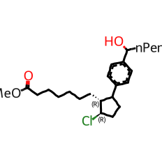 CCCCCC(O)c1ccc(C2CC[C@@H](Cl)[C@@H]2CCCCCCC(=O)OC)cc1